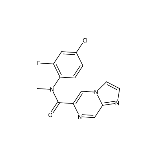 CN(C(=O)c1cn2ccnc2cn1)c1ccc(Cl)cc1F